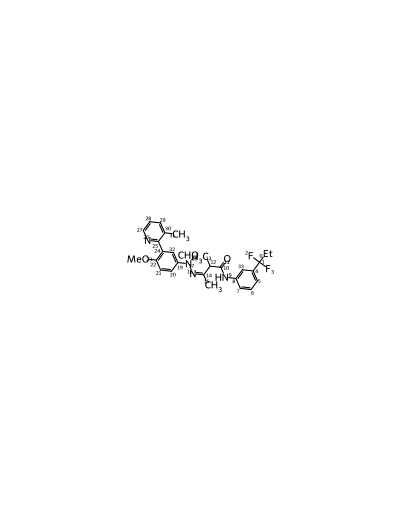 CCC(F)(F)c1cccc(NC(=O)C(C)/C(C)=N\N(C=O)c2ccc(OC)c(-c3ncccc3C)c2)c1